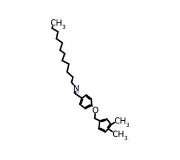 CCCCCCCCCCCC/N=C/c1ccc(OCc2ccc(C)c(C)c2)cc1